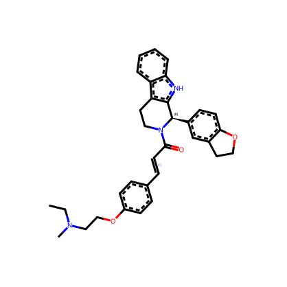 CCN(C)CCOc1ccc(/C=C/C(=O)N2CCc3c([nH]c4ccccc34)[C@H]2c2ccc3c(c2)CCO3)cc1